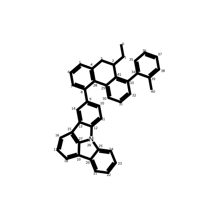 CCC1Cc2cccc(-c3ccc4c(c3)c3cccc5c6ccccc6n4c53)c2-c2cccc(-c3ccccc3C)c21